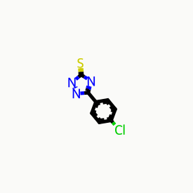 S=C1N=NC(c2ccc(Cl)cc2)=N1